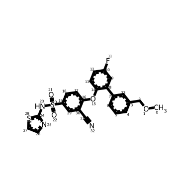 COCc1cccc(-c2cc(F)ccc2Oc2ccc(S(=O)(=O)Nc3nccs3)cc2C#N)c1